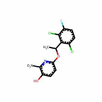 CC(Oc1ccc(O)c([N+](=O)[O-])n1)c1c(Cl)ccc(F)c1Cl